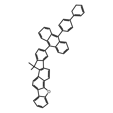 CC1(C)c2ccc(-c3c4ccccc4c(-c4ccc(C5=CC=CCC5)cc4)c4ccccc34)cc2-c2ccc3c(ccc4c5ccccc5oc34)c21